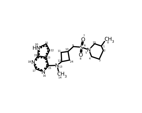 CC1CCCN(S(=O)(=O)CC2CC(N(C)c3ncnc4[nH]ccc34)C2)C1